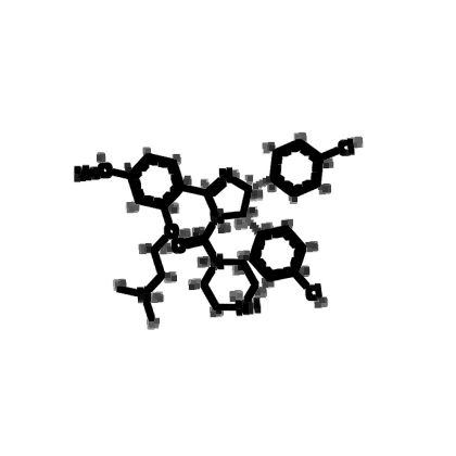 COc1ccc(C2=N[C@H](c3ccc(Cl)cc3)[C@H](c3ccc(Cl)cc3)N2C(=O)N2CCNCC2)c(OCCN(C)C)c1